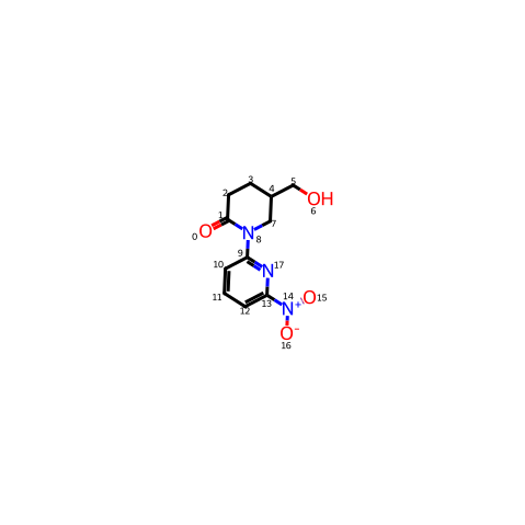 O=C1CCC(CO)CN1c1cccc([N+](=O)[O-])n1